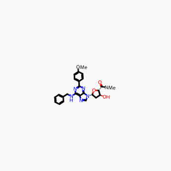 CNC(=O)[C@H]1O[C@@H](n2cnc3c(NCc4ccccc4)nc(-c4ccc(OC)cc4)nc32)C[C@@H]1O